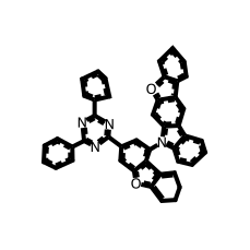 C1=c2oc3cc(-c4nc(-c5ccccc5)nc(-c5ccccc5)n4)cc(-n4c5ccccc5c5cc6c(cc54)oc4ccccc46)c3c2=CCC1